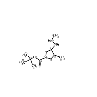 CNNC1CN(C(=O)OC(C)(C)C)CC1C